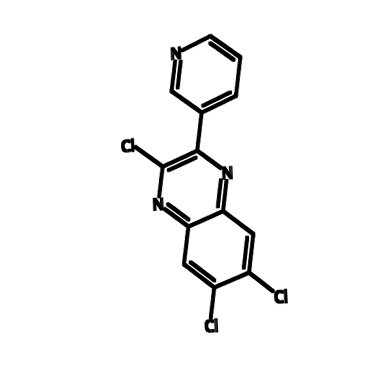 Clc1cc2nc(Cl)c(-c3cccnc3)nc2cc1Cl